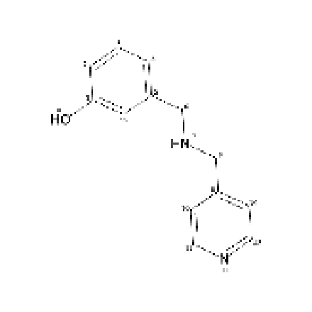 Oc1cccc(CNCc2ccncc2)c1